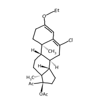 CCOC1=CC2=C(Cl)C[C@@H]3[C@H](CC[C@@]4(C)[C@H]3CC[C@]4(OC(C)=O)C(C)=O)[C@@]2(C)CC1